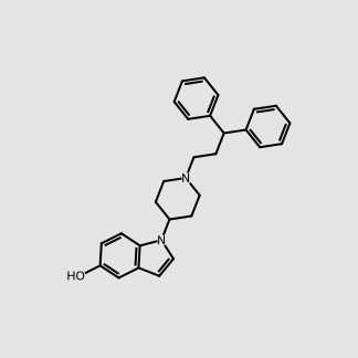 Oc1ccc2c(ccn2C2CCN(CCC(c3ccccc3)c3ccccc3)CC2)c1